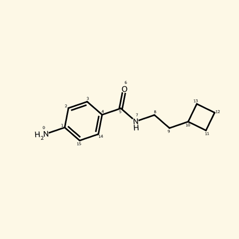 Nc1ccc(C(=O)NCCC2CCC2)cc1